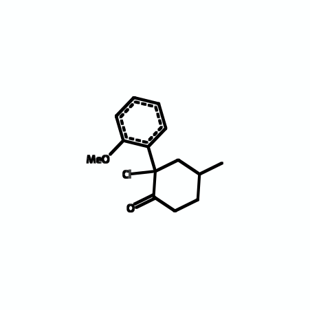 COc1ccccc1C1(Cl)CC(C)CCC1=O